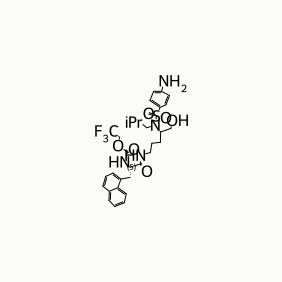 CC(C)CN(C(CO)CCCNC(=O)[C@H](Cc1cccc2ccccc12)NC(=O)OCC(F)(F)F)S(=O)(=O)c1ccc(N)cc1